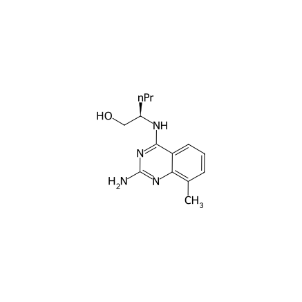 CCC[C@H](CO)Nc1nc(N)nc2c(C)cccc12